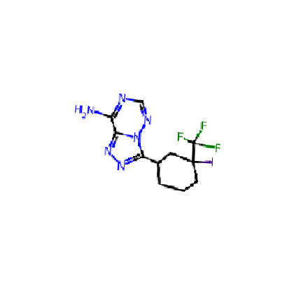 Nc1ncnn2c(C3CCCC(I)(C(F)(F)F)C3)nnc12